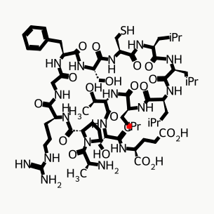 CC(C)C[C@H](NC(=O)[C@H](CS)NC(=O)[C@H](CO)NC(=O)[C@H](Cc1ccccc1)NC(=O)CNC(=O)[C@H](CCCNC(=N)N)NC(=O)[C@@H]1CCCN1C(=O)[C@H](C)N)C(=O)N[C@@H](CC(C)C)C(=O)N[C@@H](CC(C)C)C(=O)N[C@@H](CC(C)C)C(=O)N[C@H](C(=O)N[C@@H](CO)C(=O)N[C@@H](CCC(=O)O)C(=O)O)[C@@H](C)O